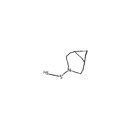 SSN1CC2CC2C1